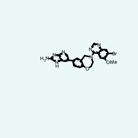 COc1cc2c(N3CCOc4ccc(-c5cnc6nc(N)[nH]c6c5)cc4C3)ncnc2cc1Br